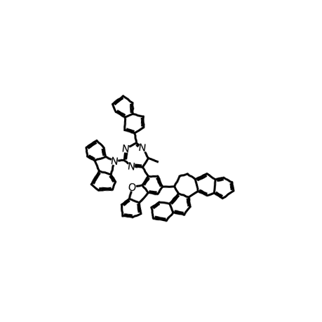 CC1N=C(c2ccc3ccccc3c2)N=C(n2c3ccccc3c3ccccc32)N=C1c1cc(C2CCc3cc4ccccc4cc3-c3ccc4ccccc4c32)cc2c1oc1ccccc12